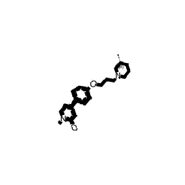 C[C@@H]1CCCN(CCCOc2ccc(-c3ccn(C)c(=O)c3)cc2)C1